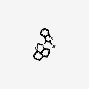 Brc1sc2ccccc2c1N1COc2cccc3cccc1c23